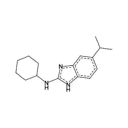 CC(C)c1ccc2[nH]c(NC3CCCCC3)nc2c1